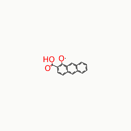 [O]c1c(C(=O)O)ccc2cc3ccccc3cc12